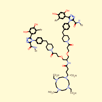 CCNC(=O)c1nnc(-c2cc(C(C)C)c(O)cc2O)n1-c1ccc(CC2CCN(C(=O)CCOCC(COCCC(=O)N3CCC(Cc4ccc(-n5c(C(=O)NCC)nnc5-c5cc(C(C)C)c(O)cc5O)cc4)CC3)NC(=O)CC[C@H](C(=O)O)N3CCN(CC(=O)O)CCN(CC(=O)O)CCN(CC(=O)O)CC3)CC2)cc1